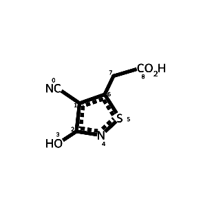 N#Cc1c(O)nsc1CC(=O)O